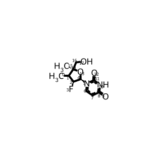 CC1[C@H](F)[C@H](n2ccc(=O)[nH]c2=O)O[C@]1(C)CO